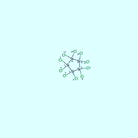 Cl[Si]1(Cl)[Si](Cl)(Cl)[Si](Cl)(Cl)[Si](Cl)(Cl)[Si]1(Cl)Cl